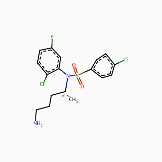 C[C@H](CCCN)N(c1cc(F)ccc1Cl)S(=O)(=O)c1ccc(Cl)cc1